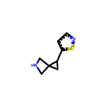 c1cc(C2CC23CNC3)sn1